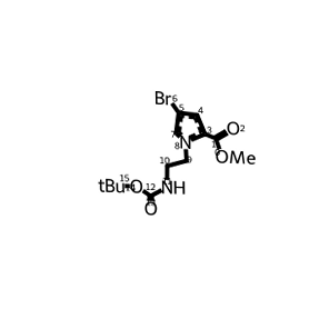 COC(=O)c1cc(Br)cn1CCNC(=O)OC(C)(C)C